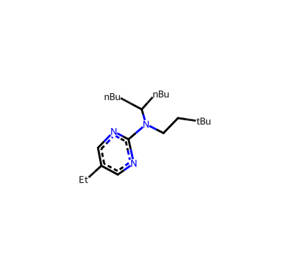 CCCCC(CCCC)N(CCC(C)(C)C)c1ncc(CC)cn1